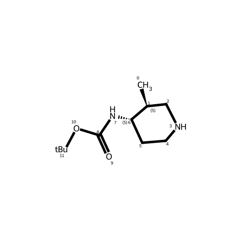 C[C@H]1CNCC[C@@H]1NC(=O)OC(C)(C)C